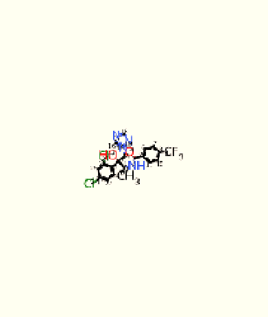 C[C@@H](NC(=O)c1ccc(C(F)(F)F)cc1)C(O)(Cn1cncn1)c1ccc(Cl)cc1Cl